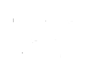 CC(=O)OC(C)C.ClCCCl